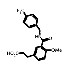 COc1ccc(CCC(=O)O)cc1C(=O)NCc1ccc(C(F)(F)F)cc1